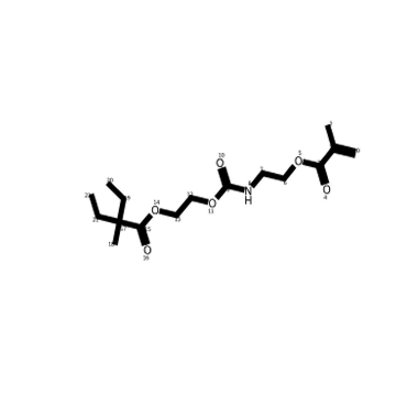 C=C(C)C(=O)OCCNC(=O)OCCOC(=O)C(C)(CC)CC